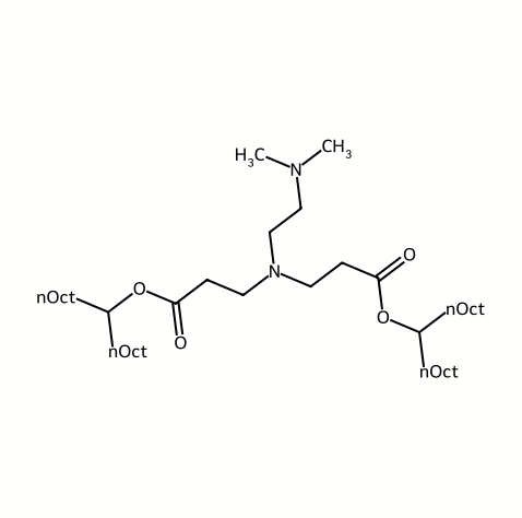 CCCCCCCCC(CCCCCCCC)OC(=O)CCN(CCC(=O)OC(CCCCCCCC)CCCCCCCC)CCN(C)C